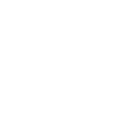 CCOC(=O)C1CCCc2ccc3c(ccc4ccccc43)c21.O=C(O)c1ccoc1